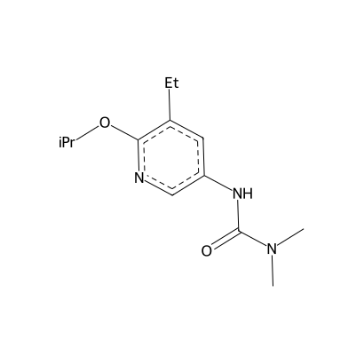 CCc1cc(NC(=O)N(C)C)cnc1OC(C)C